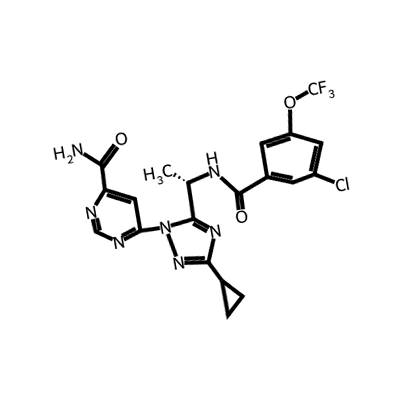 C[C@H](NC(=O)c1cc(Cl)cc(OC(F)(F)F)c1)c1nc(C2CC2)nn1-c1cc(C(N)=O)ncn1